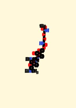 CC/N=c1\cc2oc3cc(NCC)c(C)cc3c(-c3ccccc3C(=O)N3CCN(C(=O)c4ccccc4-c4c5ccc(=O)cc-5oc5cc(OCC(=O)NCCOCCOCCNC(=O)OC(C)(C)C)ccc45)CC3)c-2cc1C